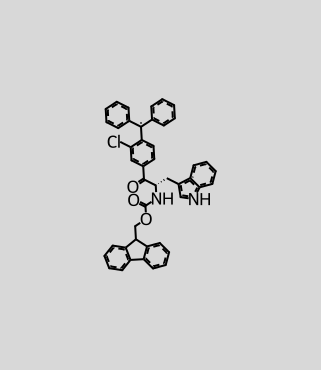 O=C(N[C@@H](Cc1c[nH]c2ccccc12)C(=O)c1ccc([C](c2ccccc2)c2ccccc2)c(Cl)c1)OCC1c2ccccc2-c2ccccc21